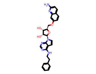 Nc1ccc2ccc(OC[C@H]3O[C@@H](n4ccc5c(NCCc6ccccc6)ncnc54)[C@H](O)[C@@H]3O)cc2n1